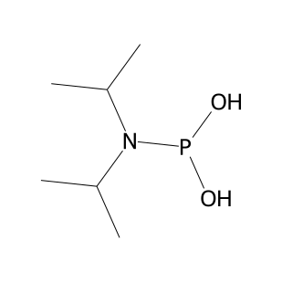 CC(C)N(C(C)C)P(O)O